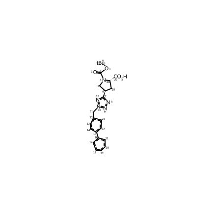 CC(C)(C)OC(=O)N1C[C@H](c2nnn(Cc3ccc(-c4ccccc4)cc3)n2)C[C@H]1C(=O)O